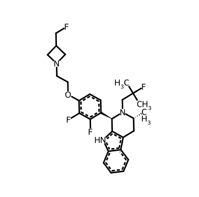 C[C@@H]1Cc2c([nH]c3ccccc23)[C@@H](c2ccc(OCCN3CC(CF)C3)c(F)c2F)N1CC(C)(C)F